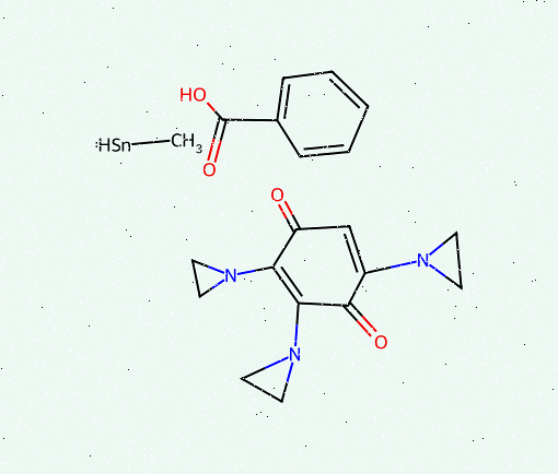 O=C(O)c1ccccc1.O=C1C=C(N2CC2)C(=O)C(N2CC2)=C1N1CC1.[CH3][SnH]